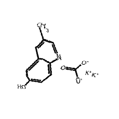 Cc1cnc2ccc(O)cc2c1.O=C([O-])[O-].[K+].[K+]